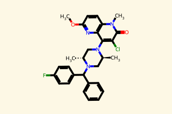 COc1ccc2c(n1)c(N1C[C@@H](C)N(C(c3ccccc3)c3ccc(F)cc3)C[C@@H]1C)c(Cl)c(=O)n2C